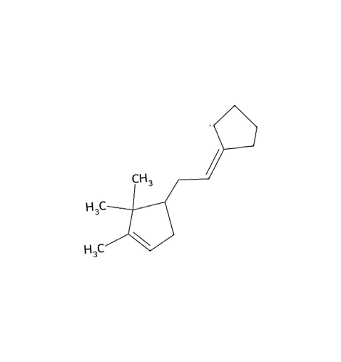 CC1=CCC(C/C=C2\[CH]CCC2)C1(C)C